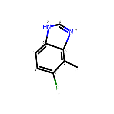 Cc1c(F)ccc2[nH]cnc12